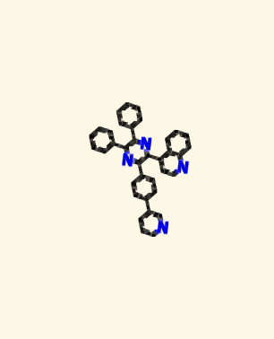 c1ccc(-c2nc(-c3ccc(-c4cccnc4)cc3)c(-c3ccnc4ccccc34)nc2-c2ccccc2)cc1